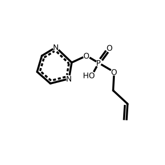 C=CCOP(=O)(O)Oc1ncccn1